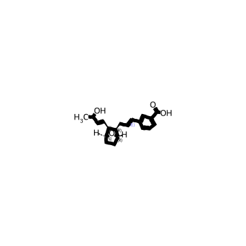 CC(O)C=C[C@H]1[C@@H](C/C=C/c2cccc(C(=O)O)c2)[C@H]2CC[C@@H]1O2